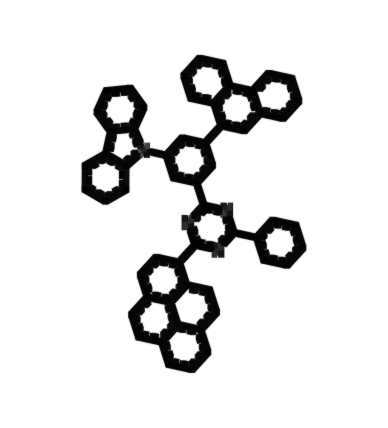 c1ccc(-c2nc(-c3cc(-c4cc5ccccc5c5ccccc45)cc(-n4c5ccccc5c5ccccc54)c3)nc(-c3ccc4ccc5cccc6ccc3c4c56)n2)cc1